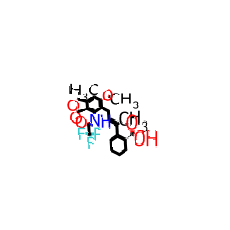 COc1c(C)c2c(c(NC(=O)C(F)(F)F)c1C/C=C(\C)C1CCCC[C@H]1C(=O)O)C(=O)OC2